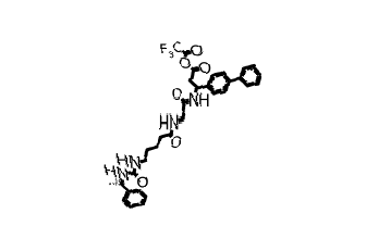 C[C@H](NC(=O)NCCCCC(=O)NCC(=O)NC(CC(=O)OC(=O)C(F)(F)F)c1ccc(-c2ccccc2)cc1)c1ccccc1